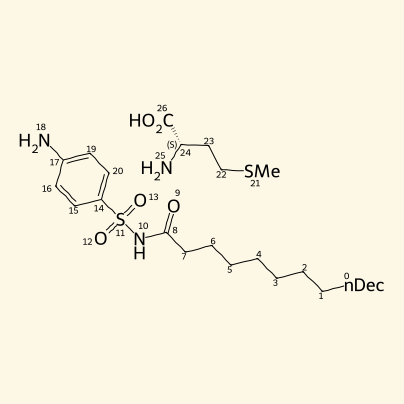 CCCCCCCCCCCCCCCCCC(=O)NS(=O)(=O)c1ccc(N)cc1.CSCC[C@H](N)C(=O)O